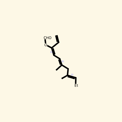 C=C/C(=C\C=C(/C)C/C(C)=C/CC)OC=O